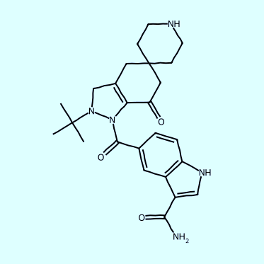 CC(C)(C)N1CC2=C(C(=O)CC3(CCNCC3)C2)N1C(=O)c1ccc2[nH]cc(C(N)=O)c2c1